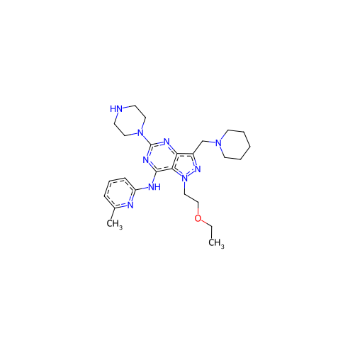 CCOCCn1nc(CN2CCCCC2)c2nc(N3CCNCC3)nc(Nc3cccc(C)n3)c21